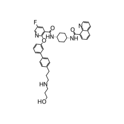 O=C(N[C@H]1CC[C@@H](NC(=O)c2cccc3cccnc23)CC1)c1cc(F)cnc1Oc1cccc(-c2ccc(CCCNCCCO)cc2)c1